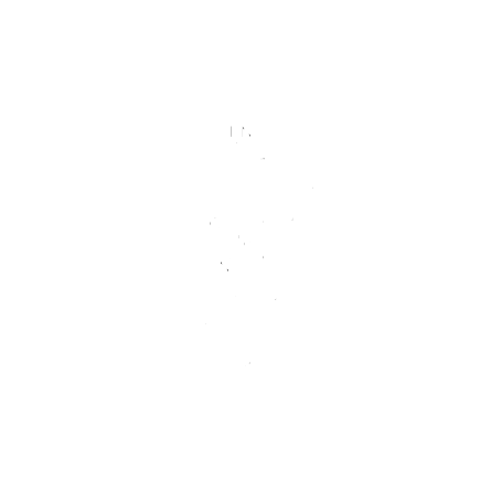 Nc1cccc(S(=O)(=O)N2CCc3ccccc32)c1